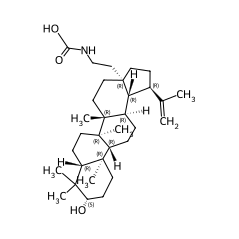 C=C(C)[C@@H]1CC[C@]2(CCNC(=O)O)CC[C@]3(C)[C@H](CC[C@@H]4[C@@]5(C)CC[C@H](O)C(C)(C)[C@@H]5CC[C@]43C)[C@@H]12